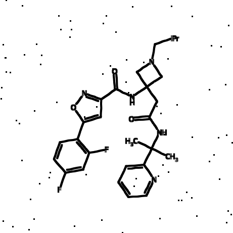 CC(C)CN1CC(CC(=O)NC(C)(C)c2ccccn2)(NC(=O)c2cc(-c3ccc(F)cc3F)on2)C1